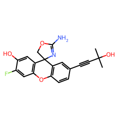 CC(C)(O)C#Cc1ccc2c(c1)C1(COC(N)=N1)c1cc(O)c(F)cc1O2